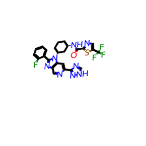 O=C(N[C@H]1CCC[C@@H](n2c(-c3ccccc3F)nc3cnc(-c4nc[nH]n4)cc32)C1)c1ncc(C(F)(F)F)s1